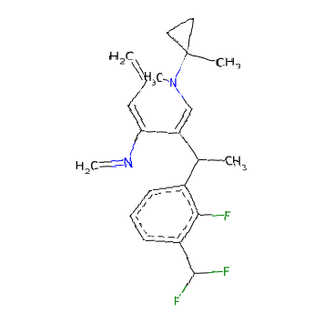 C=C/C=C(N=C)\C(=C/N(C)C1(C)CC1)C(C)c1cccc(C(F)F)c1F